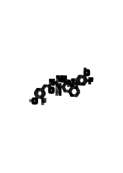 COc1ccc(CC(=O)N=C(N)NC(CC2CCCCC2)C(=O)NCc2ccc(F)c(OC)c2)cc1F